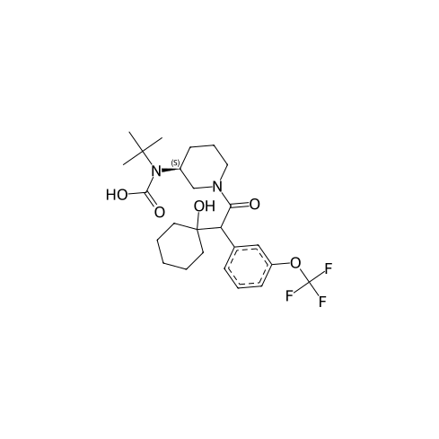 CC(C)(C)N(C(=O)O)[C@H]1CCCN(C(=O)C(c2cccc(OC(F)(F)F)c2)C2(O)CCCCC2)C1